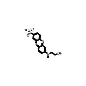 CN(CCO)c1ccc2nc3cc(S(=O)(=O)O)ccc3nc2c1